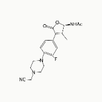 CC(=O)N[C@@H]1OC(=O)C(c2ccc(N3CCN(CC#N)CC3)c(F)c2)=C1C